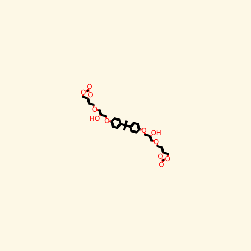 CC(C)(c1ccc(OCC(O)COC/C=C2/COC(=O)O2)cc1)c1ccc(OCC(O)COC/C=C2/COC(=O)O2)cc1